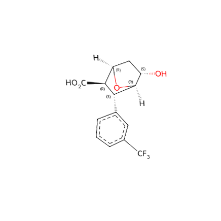 O=C(O)[C@@H]1[C@@H](c2cccc(C(F)(F)F)c2)[C@H]2O[C@@H]1C[C@@H]2O